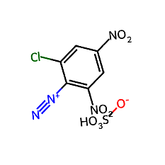 N#[N+]c1c(Cl)cc([N+](=O)[O-])cc1[N+](=O)[O-].O=S(=O)([O-])O